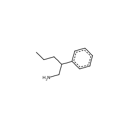 CCCC(CN)c1ccccc1